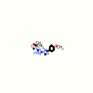 COc1ccc(-c2ncn(-c3n[nH]c(N4COCC4(C)C)n3)n2)cc1